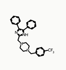 FC(F)(F)c1ccc(CN2CCN(Cc3nc(-c4ccccc4)c(-c4ccccc4)[nH]3)CC2)cc1